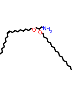 CCCCCCCC/C=C\CCCCCCCCOCC(CN)OCCCCCCCCCCCCCCCC